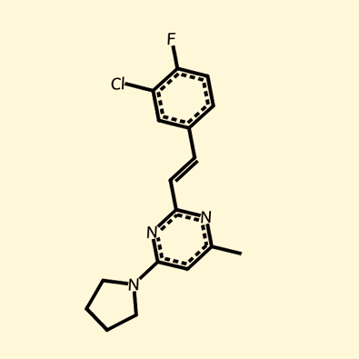 Cc1cc(N2CCCC2)nc(C=Cc2ccc(F)c(Cl)c2)n1